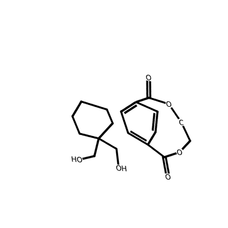 O=C1OCCOC(=O)c2ccc1cc2.OCC1(CO)CCCCC1